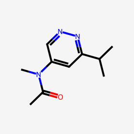 CC(=O)N(C)c1cnnc(C(C)C)c1